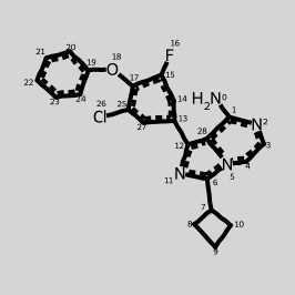 Nc1nccn2c(C3CCC3)nc(-c3cc(F)c(Oc4ccccc4)c(Cl)c3)c12